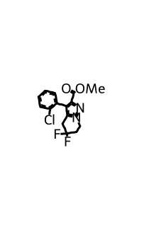 COC(=O)c1nn2c(c1-c1ccccc1Cl)CC(F)(F)CC2